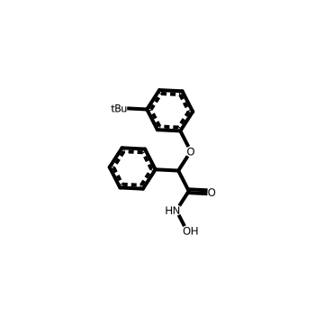 CC(C)(C)c1cccc(OC(C(=O)NO)c2ccccc2)c1